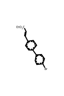 CCOC(=O)/C=C/c1ccc(-c2ccc(Br)cc2)cc1